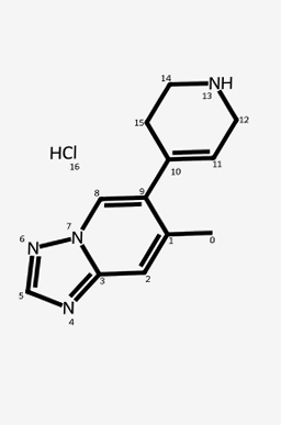 Cc1cc2ncnn2cc1C1=CCNCC1.Cl